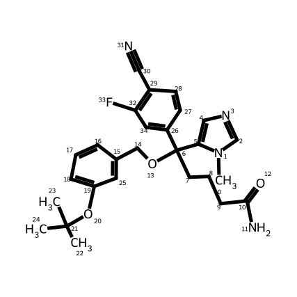 Cn1cncc1C(CCCC(N)=O)(OCc1cccc(OC(C)(C)C)c1)c1ccc(C#N)c(F)c1